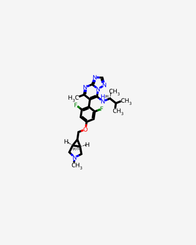 Cc1nc2ncnn2c(N[C@H](C)C(C)C)c1-c1c(F)cc(OCC2[C@H]3CN(C)C[C@@H]23)cc1F